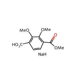 COC(=O)c1ccc(C(=O)O)c(OC)c1OC.[NaH]